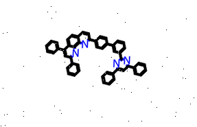 c1ccc(-c2cc(-c3ccccc3)nc(-c3cccc(-c4ccc(-c5ccc6ccc7c(-c8ccccc8)cc(-c8ccccc8)nc7c6n5)cc4)c3)n2)cc1